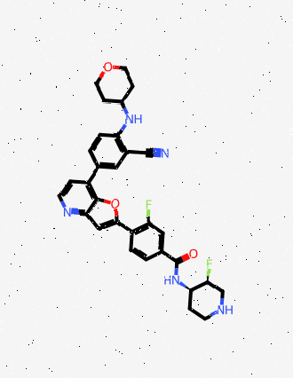 N#Cc1cc(-c2ccnc3cc(-c4ccc(C(=O)N[C@@H]5CCNC[C@@H]5F)cc4F)oc23)ccc1NC1CCOCC1